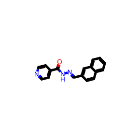 O=C(NN=Cc1ccc2ccccc2c1)c1ccncc1